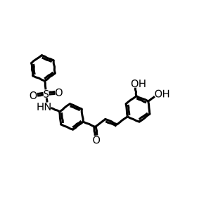 O=C(/C=C/c1ccc(O)c(O)c1)c1ccc(NS(=O)(=O)c2ccccc2)cc1